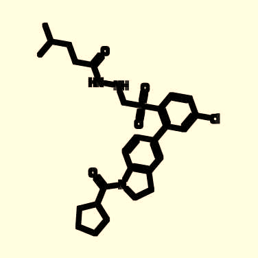 CC(C)CCC(=O)NNCS(=O)(=O)c1ccc(Cl)cc1-c1ccc2c(c1)CCN2C(=O)C1CCCC1